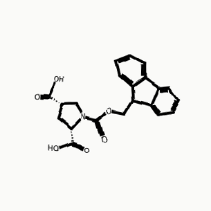 O=C(O)[C@H]1C[C@@H](C(=O)O)N(C(=O)OCC2c3ccccc3-c3ccccc32)C1